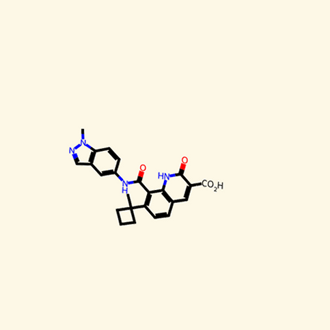 Cn1ncc2cc(NC(=O)c3c(C4(C)CCC4)ccc4cc(C(=O)O)c(=O)[nH]c34)ccc21